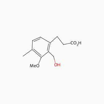 COc1c(C)ccc(CCC(=O)O)c1CO